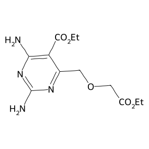 CCOC(=O)COCc1nc(N)nc(N)c1C(=O)OCC